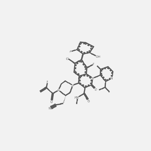 C=C(F)C(=O)N1CCN(c2c(C(=O)NC)c(=O)n(-c3c(C)ccnc3C(C)C)c3c(F)c(-c4c(O)cccc4F)c(Cl)cc23)C[C@@H]1CC#N